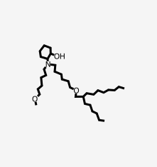 CCCCCCCCC(CCCCCC)COCCCCCCN(CCCCCCOC)C1CCCCC1O